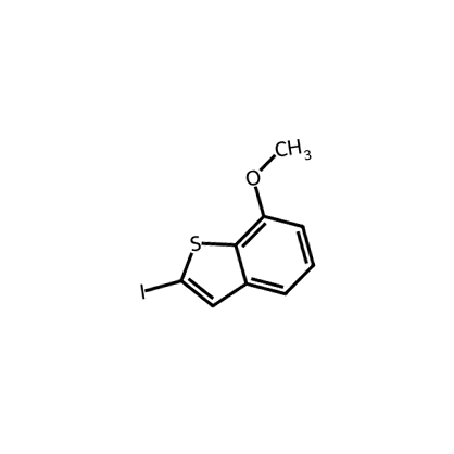 COc1cccc2cc(I)sc12